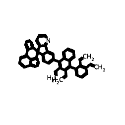 C=Cc1cccc(-c2c(C=C)c(C=C)c(-c3ccc4c(c3)-c3ncccc3C43c4ccccc4-c4cccc5cccc3c45)c3ccccc23)c1C=C